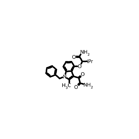 Cc1c(C(=O)C(N)=O)c2c(OC(C(N)=O)C(C)C)cccc2n1Cc1ccccc1